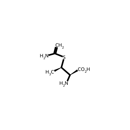 C=C(N)S[C@H](C)[C@H](N)C(=O)O